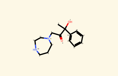 CC(O)(C(=O)CN1CCCNCC1)c1ccccc1